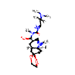 CCN(C(=O)NCC(CC)(CC)N(C)C)C(=O)[C@@H]1C[C@@H]2CC3(CC[C@H]2N(C)C1)OCCO3